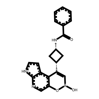 O=C(N[C@H]1C[C@@H](C2=CB(O)Oc3cnc4[nH]ccc4c32)C1)c1ccccc1